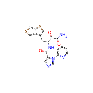 NC(=O)C(=O)C(Cc1csc2cscc12)NC(=O)c1cncn1-c1ccccn1